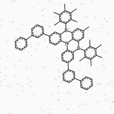 Cc1cc2c3c(c1)B(c1c(C)c(C)c(C)c(C)c1C)c1cc(-c4cccc(-c5ccccc5)c4)ccc1N3c1ccc(-c3cccc(-c4ccccc4)c3)cc1B2c1c(C)c(C)c(C)c(C)c1C